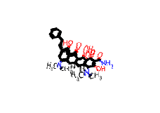 CN(C)c1cc(CCc2ccccc2)c(O)c2c1C[C@@H]1C[C@@H]3[C@@H](N(C)C)C(O)=C(C(N)=O)C(=O)[C@]3(O)C(O)=C1C2=O